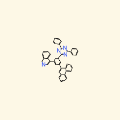 c1ccc(-c2nc(-c3ccccc3)nc(-c3cc(-c4cncc5ccccc45)cc(-c4cc5ccccc5c5ccccc45)c3)n2)cc1